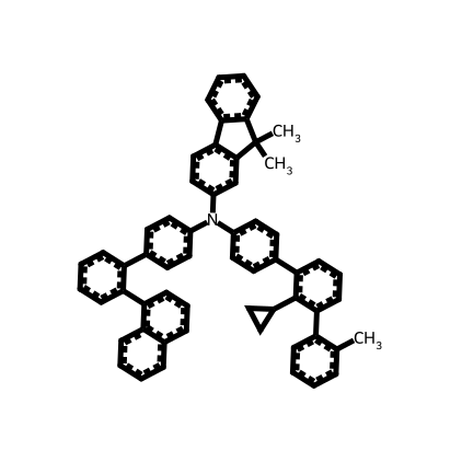 Cc1ccccc1-c1cccc(-c2ccc(N(c3ccc(-c4ccccc4-c4cccc5ccccc45)cc3)c3ccc4c(c3)C(C)(C)c3ccccc3-4)cc2)c1C1CC1